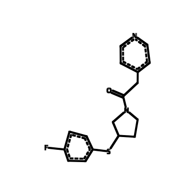 O=C(Cc1ccncc1)N1CCC(Sc2ccc(F)cc2)C1